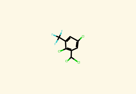 FC(F)(F)c1cc(Cl)cc(C(Cl)Cl)c1Cl